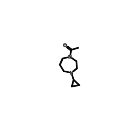 CC(=O)N1CCCN(C2CC2)CC1